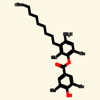 CCCCCCCCCCCCCCCCCCc1c(C(=O)O)cc(C(C)(C)C)c(OC(=O)c2cc(C(C)(C)C)c(O)c(C(C)(C)C)c2)c1C(C)(C)C